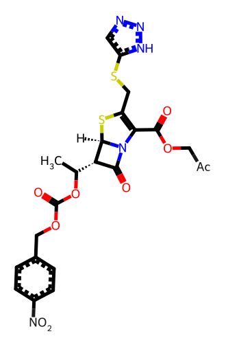 CC(=O)COC(=O)C1=C(CSc2cnn[nH]2)S[C@@H]2[C@@H](C(C)OC(=O)OCc3ccc([N+](=O)[O-])cc3)C(=O)N12